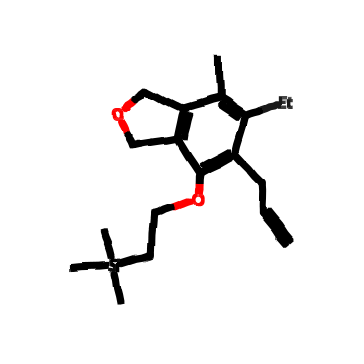 C=CCc1c(CC)c(C)c2c(c1OCC[Si](C)(C)C)COC2